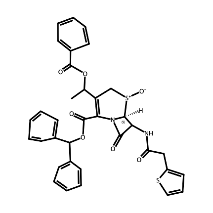 CC(OC(=O)c1ccccc1)C1=C(C(=O)OC(c2ccccc2)c2ccccc2)N2C(=O)C(NC(=O)Cc3cccs3)[C@@H]2[S+]([O-])C1